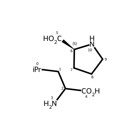 CC(C)CC(N)C(=O)O.O=C(O)[C@@H]1CCCN1